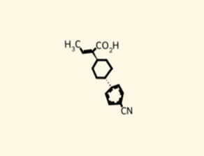 CC=C(C(=O)O)[C@H]1CC[C@H](c2ccc(C#N)cc2)CC1